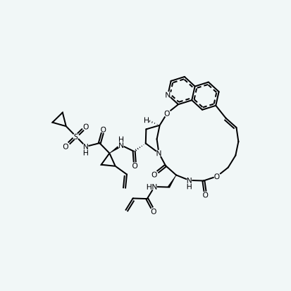 C=CC(=O)NC[C@@H]1NC(=O)OCCC/C=C/c2ccc3ccnc(c3c2)O[C@@H]2C[C@@H](C(=O)N[C@]3(C(=O)NS(=O)(=O)C4CC4)CC3C=C)N(C2)C1=O